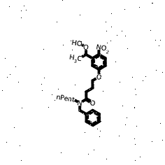 CCCCCN(Cc1ccccc1)C(=O)CCCOc1ccc([N+](=O)[O-])c(C(C)OO)c1